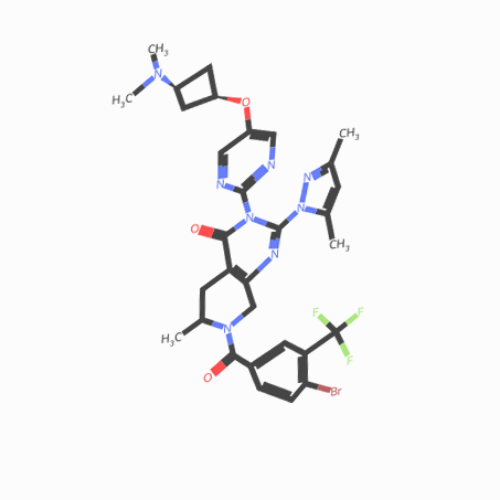 Cc1cc(C)n(-c2nc3c(c(=O)n2-c2ncc(O[C@H]4C[C@@H](N(C)C)C4)cn2)CC(C)N(C(=O)c2ccc(Br)c(C(F)(F)F)c2)C3)n1